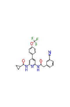 N#Cc1cccc(CC(=O)Nc2cc(-c3ccc(OC(F)(F)F)cc3)cc(NC(=O)C3CC3)n2)c1